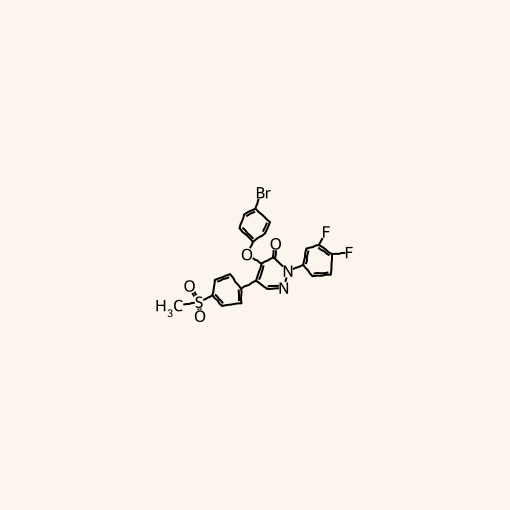 CS(=O)(=O)c1ccc(-c2cnn(-c3ccc(F)c(F)c3)c(=O)c2Oc2ccc(Br)cc2)cc1